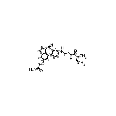 C=CC(C)C(=O)NCCNc1ccc(-c2cc(OCC(N)=O)cn3ncc(C#N)c23)cn1